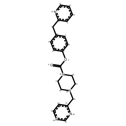 O=C(Oc1ccc(Cc2ccccn2)cc1)N1CCN(Cc2ccncn2)CC1